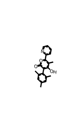 Cc1cc(C)c(-c2c(O)c(C)c(-c3ccccn3)oc2=O)c(C)c1